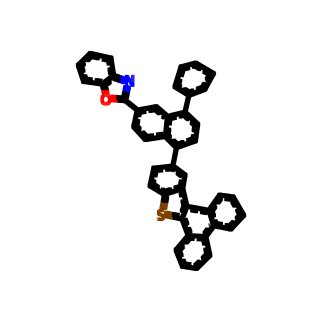 c1ccc(-c2ccc(-c3ccc4sc5c6ccccc6c6ccccc6c5c4c3)c3ccc(-c4nc5ccccc5o4)cc23)cc1